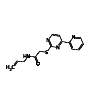 C=CCNC(=O)CSc1nccc(-c2ccccn2)n1